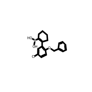 OB(O)C1=C(c2cc(Cl)ccc2OCc2ccccc2)CCCC1